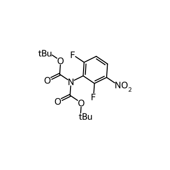 CC(C)(C)OC(=O)N(C(=O)OC(C)(C)C)c1c(F)ccc([N+](=O)[O-])c1F